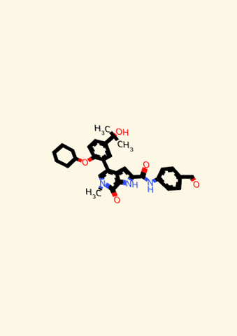 Cn1cc(-c2cc(C(C)(C)O)ccc2OC2CCCCC2)c2cc(C(=O)Nc3ccc(C=O)cc3)[nH]c2c1=O